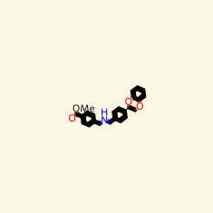 COC(=O)c1ccc(CNCc2ccc([C@H]3COc4ccccc4O3)cc2)cc1